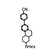 CCCCCCC1CCC2c3ccc(-c4ccc(C#N)cc4)cc3CCC2C1